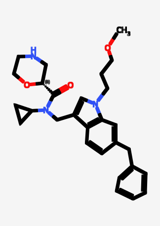 COCCCn1cc(CN(C(=O)[C@H]2CNCCO2)C2CC2)c2ccc(Cc3ccccc3)cc21